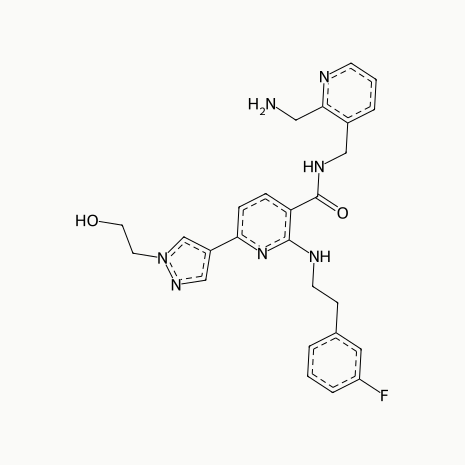 NCc1ncccc1CNC(=O)c1ccc(-c2cnn(CCO)c2)nc1NCCc1cccc(F)c1